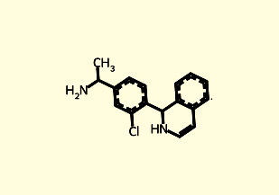 CC(N)c1ccc(C2NC=Cc3[c]cccc32)c(Cl)c1